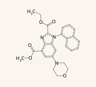 CCOC(=O)c1nc2c(C(=O)OC)cc(N3CCOCC3)cc2n1-c1cccc2ccccc12